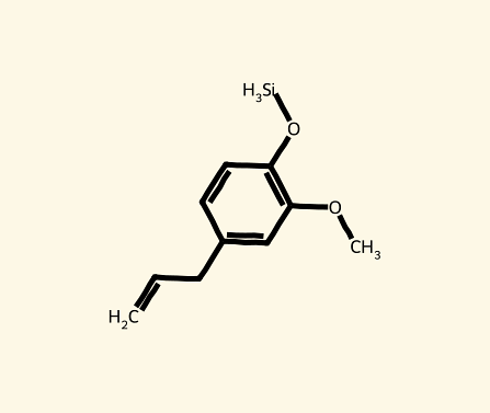 C=CCc1ccc(O[SiH3])c(OC)c1